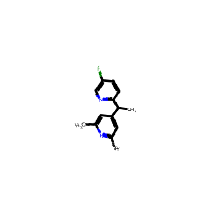 Cc1cc(C(C)c2ccc(F)cn2)cc(C(C)C)n1